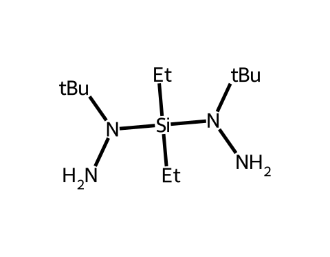 CC[Si](CC)(N(N)C(C)(C)C)N(N)C(C)(C)C